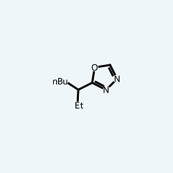 CCCCC(CC)c1nnco1